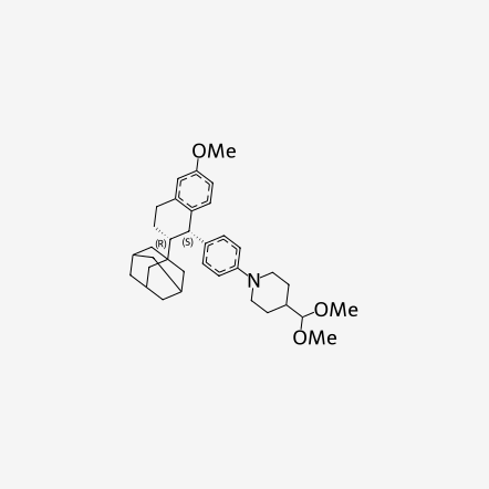 COc1ccc2c(c1)CC[C@@H](C13CC4CC(CC(C4)C1)C3)[C@H]2c1ccc(N2CCC(C(OC)OC)CC2)cc1